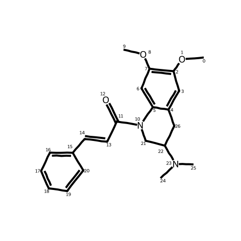 COc1cc2c(cc1OC)N(C(=O)C=Cc1ccccc1)CC(N(C)C)C2